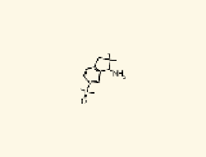 CC1(C)Cc2ccc(P(C)(C)=O)cc2C1N